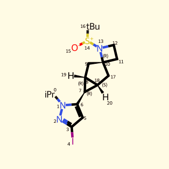 CC(C)n1nc(I)cc1[C@H]1[C@@H]2C[C@@]3(CCN3[S+]([O-])C(C)(C)C)C[C@@H]21